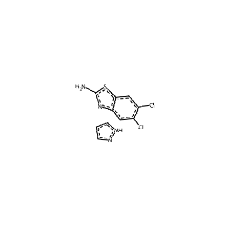 Nc1nc2cc(Cl)c(Cl)cc2s1.c1cn[nH]c1